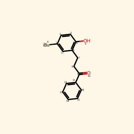 CCC(C)c1ccc(O)c(CCC(=O)c2ccccc2)c1